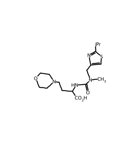 CC(C)c1nc(CN(C)C(=O)NC(CCN2CCOCC2)C(=O)O)cs1